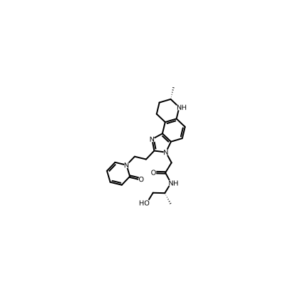 C[C@H](CO)NC(=O)Cn1c(CCn2ccccc2=O)nc2c3c(ccc21)N[C@@H](C)CC3